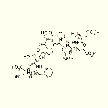 CSCC[C@H](NC(=O)[C@H](CCC(=O)O)NC(=O)[C@@H](N)CC(=O)O)C(=O)N1CCC[C@H]1C(=O)N[C@@H](CO)C(=O)N1CCC[C@H]1C(=O)N[C@H](C(=O)N[C@@H](Cc1ccccc1)C(=O)N[C@@H](CC(C)C)C(=O)O)[C@@H](C)O